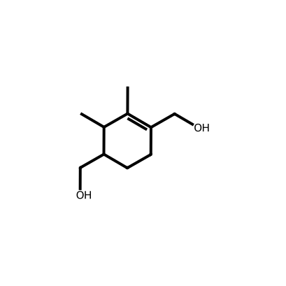 CC1=C(CO)CCC(CO)C1C